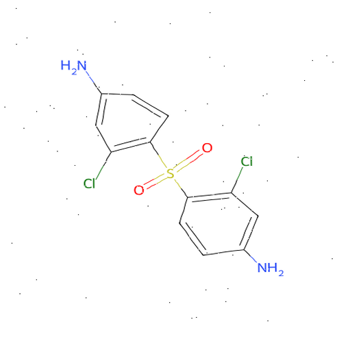 Nc1ccc(S(=O)(=O)c2ccc(N)cc2Cl)c(Cl)c1